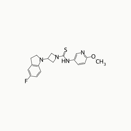 COc1ccc(NC(=S)N2CC(N3CCc4cc(F)ccc43)C2)cn1